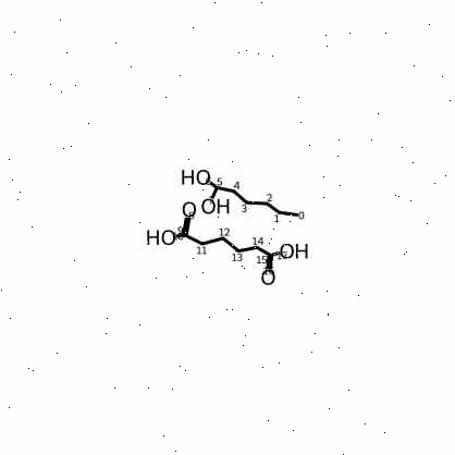 CCCCCC(O)O.O=C(O)CCCCC(=O)O